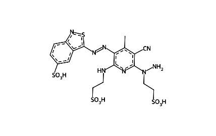 Cc1c(C#N)c(N(N)CCS(=O)(=O)O)nc(NCCS(=O)(=O)O)c1/N=N/c1snc2ccc(S(=O)(=O)O)cc12